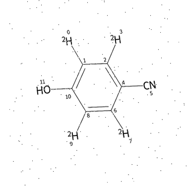 [2H]c1c([2H])c(C#N)c([2H])c([2H])c1O